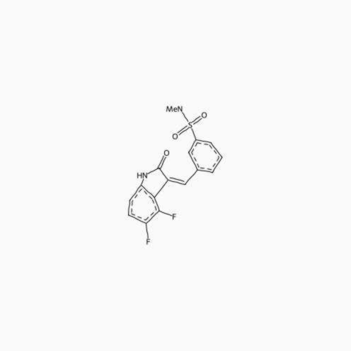 CNS(=O)(=O)c1cccc(C=C2C(=O)Nc3ccc(F)c(F)c32)c1